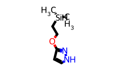 C[SiH](C)CCOc1cc[nH]n1